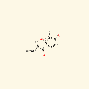 CCCCCc1coc2c(C)c(O)ccc2c1=O